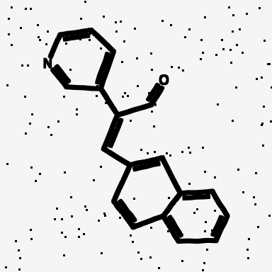 O=[C]C(=Cc1ccc2ccccc2c1)c1cccnc1